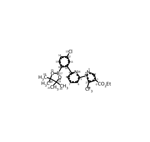 CCOC(=O)c1cnn(-c2cccc(-c3cc(Cl)ccc3B3OC(C)(C)C(C)(C)O3)n2)c1C(F)(F)F